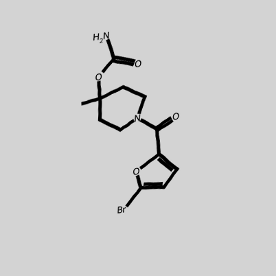 CC1(OC(N)=O)CCN(C(=O)c2ccc(Br)o2)CC1